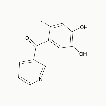 Cc1cc(O)c(O)cc1C(=O)c1cccnc1